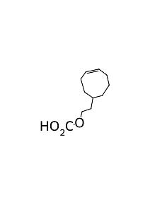 O=C(O)OCCC1CC/C=C\CCC1